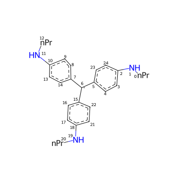 CCCNc1ccc([C](c2ccc(NCCC)cc2)c2ccc(NCCC)cc2)cc1